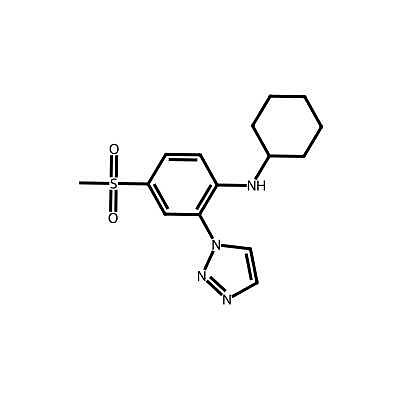 CS(=O)(=O)c1ccc(NC2CCCCC2)c(-n2ccnn2)c1